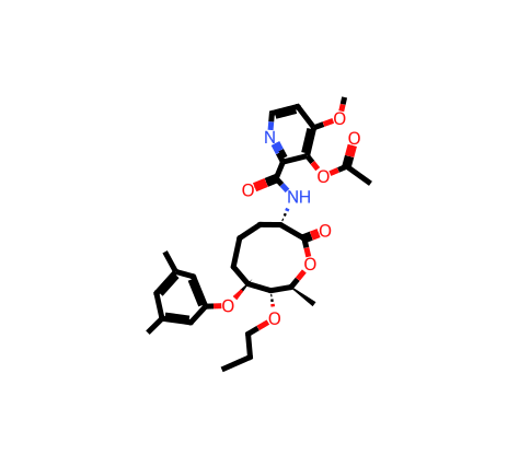 CCCO[C@H]1[C@H](C)OC(=O)[C@@H](NC(=O)c2nccc(OC)c2OC(C)=O)CCC[C@@H]1Oc1cc(C)cc(C)c1